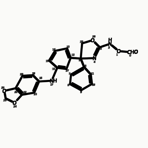 O=CONC1=NC(c2ccccc2)(c2cccc(Nc3ccc4c(c3)OCO4)c2)CO1